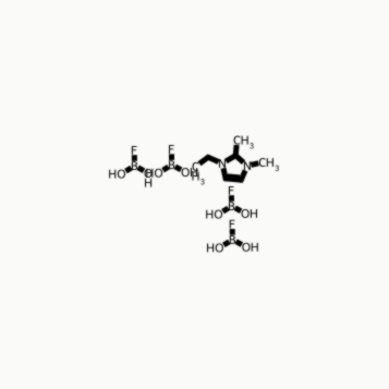 CCN1C=CN(C)C1C.OB(O)F.OB(O)F.OB(O)F.OB(O)F